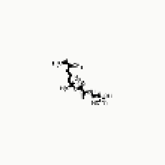 C=CC(C)CCCC(C)(C)OC(=O)C(=O)NCCP(=O)(O)O